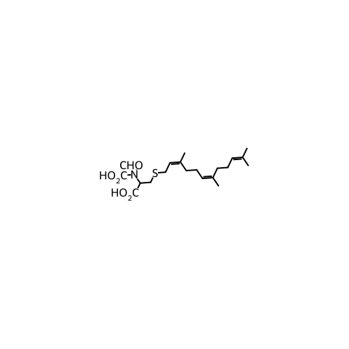 CC(C)=CCCC(C)=CCCC(C)=CCSCC(C(=O)O)N(C=O)C(=O)O